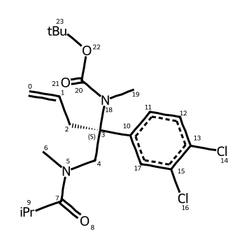 C=CC[C@@](CN(C)C(=O)C(C)C)(c1ccc(Cl)c(Cl)c1)N(C)C(=O)OC(C)(C)C